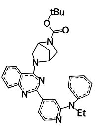 CCN(c1ccccc1)c1cc(-c2nc(N3CC4CC3CN4C(=O)OC(C)(C)C)c3ccccc3n2)ccn1